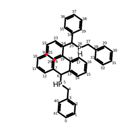 c1ccc(CPC(c2ccccc2)c2ccccc2-c2ccccc2C(PCc2ccccc2)c2ccccc2)cc1